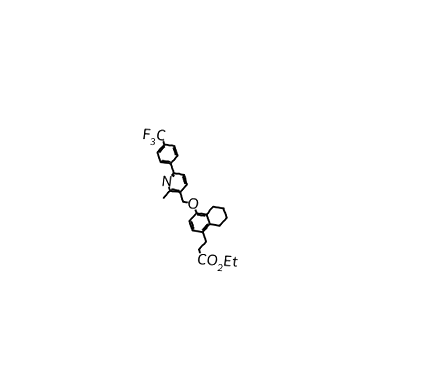 CCOC(=O)CCc1ccc(OCc2ccc(-c3ccc(C(F)(F)F)cc3)nc2C)c2c1CCCC2